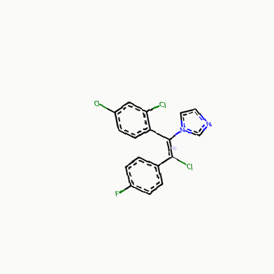 Fc1ccc(/C(Cl)=C(\c2ccc(Cl)cc2Cl)n2ccnc2)cc1